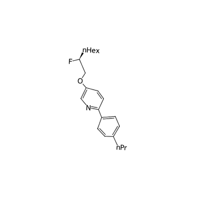 CCCCCC[C@H](F)COc1ccc(-c2ccc(CCC)cc2)nc1